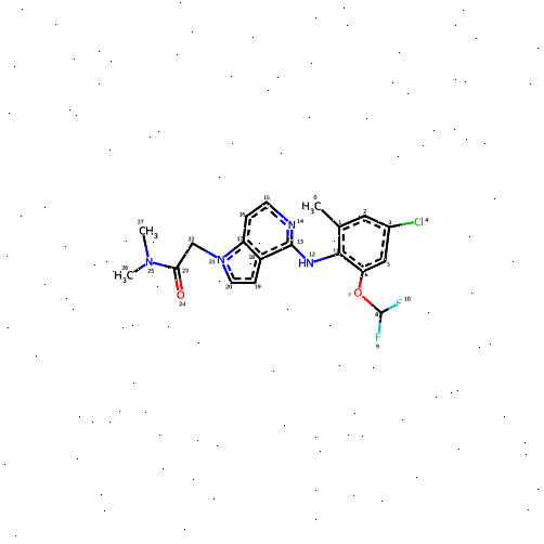 Cc1cc(Cl)cc(OC(F)F)c1Nc1nccc2c1ccn2CC(=O)N(C)C